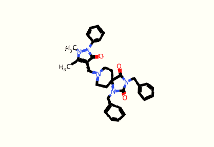 Cc1c(CN2CCC3(CC2)C(=O)N(Cc2ccccc2)C(=O)N3Cc2ccccc2)c(=O)n(-c2ccccc2)n1C